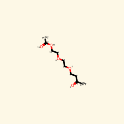 CC(C)C(=O)CCOCCOCCOC(=O)C(C)C